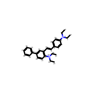 CCN(CC)c1ccc(C=Cc2cc(-c3ccccc3)c[c]c2N(CC)CC)cc1